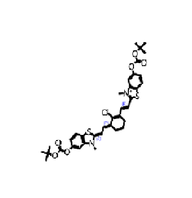 CN1/C(=C/C=C2\CCCC(/C=C/c3sc4ccc(OC(=O)OC(C)(C)C)cc4[n+]3C)=C2Cl)Sc2ccc(OC(=O)OC(C)(C)C)cc21